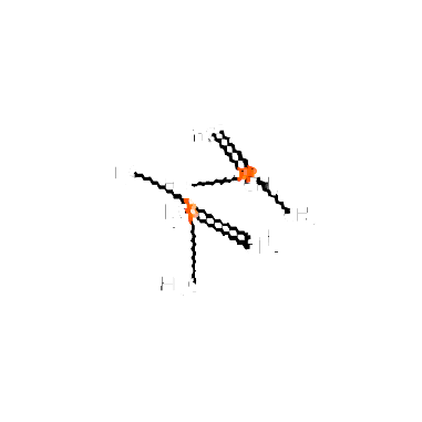 CCCCCCCCCCCCCCCP(CCCCCCCCCCCCCCC)C(C)P(CCCCCCCCCCCCCCC)CCCCCCCCCCCCCCC.CCCCCCCCCCCCP(CCCCCCCCCCCC)C(C)P(CCCCCCCCCCCC)CCCCCCCCCCCC